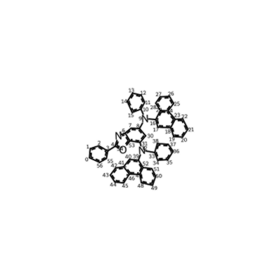 c1ccc(-c2nc3cc(N(c4ccccc4)c4cc5ccccc5c5ccccc45)cc(N(c4ccccc4)c4cc5ccccc5c5ccccc45)c3o2)cc1